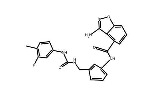 Cc1ccc(NC(=O)NCc2cccc(NC(=O)c3cccc4onc(N)c34)c2)cc1F